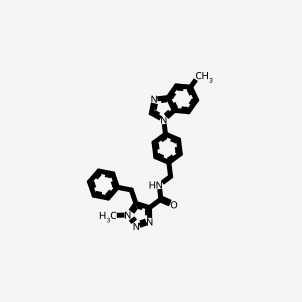 Cc1ccc2c(c1)ncn2-c1ccc(CNC(=O)c2nnn(C)c2Cc2ccccc2)cc1